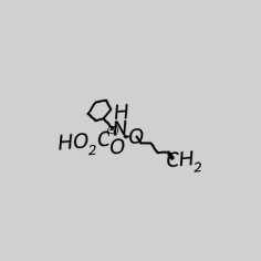 C=CCCCOC(=O)N[C@H](C(=O)O)C1CCCCC1